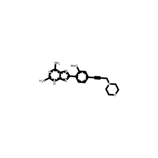 COc1cc(C#CCN2CCOCC2)ccc1-c1nc2[nH]c(N)nc(N)c-2n1